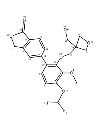 COc1c(OC(F)F)ccc(-c2ccc3c(c2)COC3=O)c1OCC1(CO)COC1